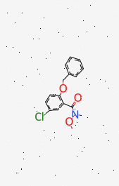 CON(C)C(=O)c1cc(Cl)ccc1OCc1ccccc1